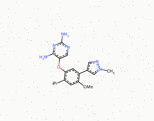 COc1cc(C(C)C)c(Oc2cnc(N)nc2N)cc1-c1cnn(C)c1